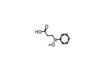 CON(CCC(=O)O)c1ccccc1